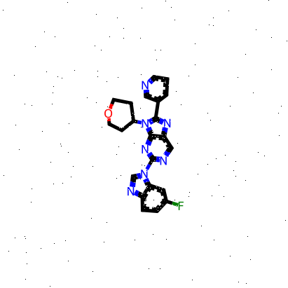 Fc1ccc2ncn(-c3ncc4nc(-c5cccnc5)n(C5CCOCC5)c4n3)c2c1